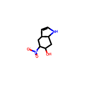 O=[N+]([O-])C1CC2C=CNC2CC1O